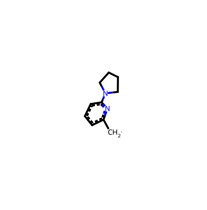 [CH2]c1cccc(N2CCCC2)n1